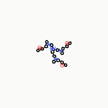 c1cc(-c2nc(-c3ccc(-n4c5ccccc5c5cc(-c6ccc7c(c6)oc6ccccc67)ccc54)cc3)c3cc(-c4ccc(-n5c6ccccc6c6cc(-c7ccc8c(c7)oc7ccccc78)ccc65)cc4)ccc3n2)cc(-n2c3ccccc3c3cc(-c4ccc5c(c4)oc4ccccc45)ccc32)c1